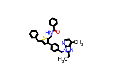 CCc1nc2c(C)ccnc2n1Cc1ccc(-c2cc(Cc3ccccc3)sc2CNC(=O)c2ccccc2)cc1